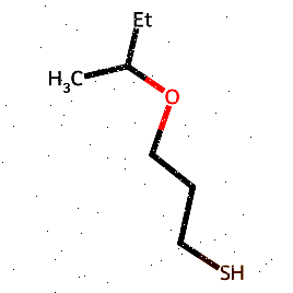 CCC(C)OCCCS